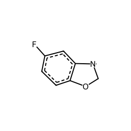 Fc1ccc2c(c1)[N]CO2